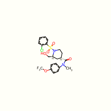 CN(C(=O)[C@H]1CCN(S(=O)(=O)c2ccccc2Cl)[C@H](CO)C1)c1ccc(OC(F)(F)F)cc1